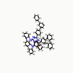 c1ccc(-c2cccc(-c3ccc(-c4nc(-c5ccccc5)nc(-n5c6ccccc6c6ccc7c8ccccc8n(-c8ccc(-c9ccc%10c%11ccccc%11c%11ccccc%11c%10c9)cc8)c7c65)n4)cc3)c2)cc1